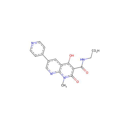 Cn1c(=O)c(C(=O)NCC(=O)O)c(O)c2cc(-c3ccncc3)cnc21